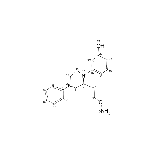 NOCCC1CN(c2ccccc2)CCN1c1cccc(O)c1